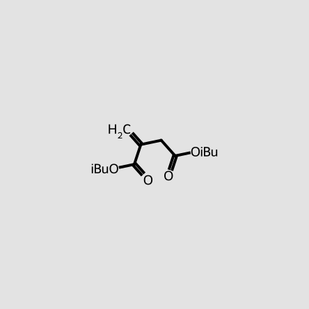 C=C(CC(=O)OCC(C)C)C(=O)OCC(C)C